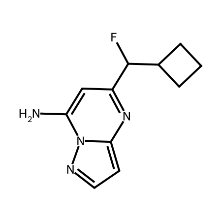 Nc1cc(C(F)C2CCC2)nc2ccnn12